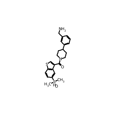 C[SH](C)(=O)c1ccc2scc(C(=O)N3CCC(c4cccc(CN)c4)CC3)c2c1